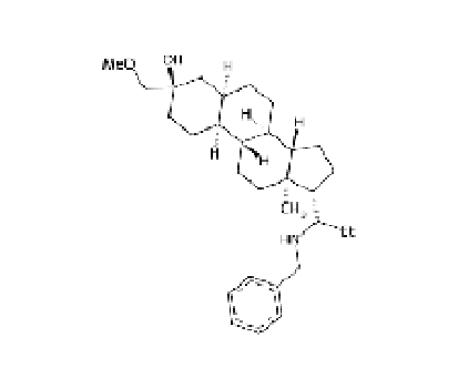 CCC(NCc1ccccc1)[C@H]1CC[C@H]2[C@@H]3CC[C@@H]4C[C@@](O)(COC)CC[C@@H]4[C@H]3CC[C@]12C